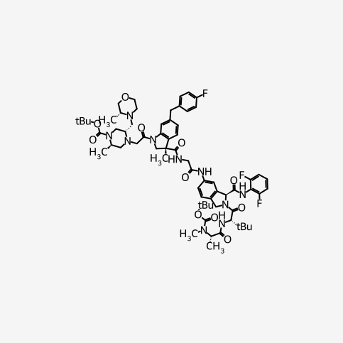 C[C@@H]1COCCN1C[C@H]1CN(C(=O)OC(C)(C)C)[C@H](C)CN1CC(=O)N1C[C@@](C)(C(=O)NCC(=O)Nc2ccc3c(c2)[C@@H](C(=O)Nc2c(F)cccc2F)N(C(=O)[C@@H](NC(=O)[C@H](C)N(C)C(=O)OC(C)(C)C)C(C)(C)C)C3)c2ccc(Cc3ccc(F)cc3)cc21